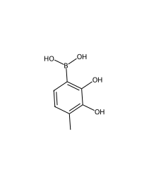 Cc1ccc(B(O)O)c(O)c1O